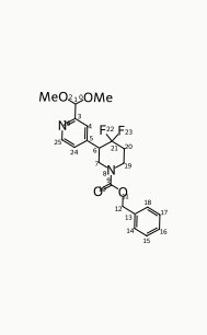 COC(OC)c1cc(C2CN(C(=O)OCc3ccccc3)CCC2(F)F)ccn1